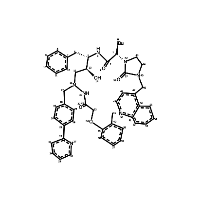 CC[C@H](C)[C@@H](C(=O)N[C@@H](Cc1ccccc1)[C@@H](O)CN(Cc1ccc(-c2ccccn2)cc1)NC(=O)COc1ccccc1C)N1CCN(Cc2ccnc3ccccc23)C1=O